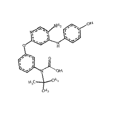 CC(C)(C)N(C(=O)O)c1cccc(Oc2cc(Nc3ccc(O)cc3)c(N)cn2)c1